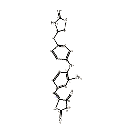 O=C1NC(Cc2ccc(Oc3ccc(/C=C4/SC(=O)NC4=O)cc3C(F)(F)F)cc2)CO1